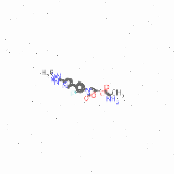 C[C@@H](N)C(=O)OC[C@H]1CN(c2ccc(-c3ccc(-c4nnn(C)n4)nc3)c(F)c2)C(=O)O1